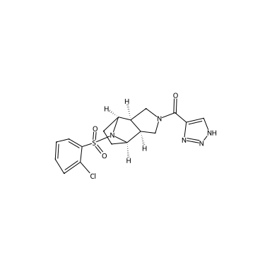 O=C(c1c[nH]nn1)N1C[C@@H]2[C@H](C1)[C@@H]1CC[C@H]2N1S(=O)(=O)c1ccccc1Cl